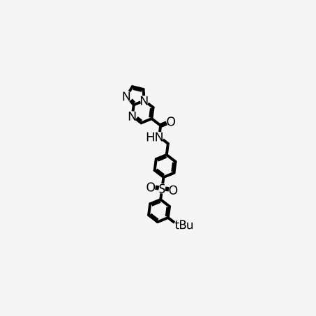 CC(C)(C)c1cccc(S(=O)(=O)c2ccc(CNC(=O)c3cnc4nccn4c3)cc2)c1